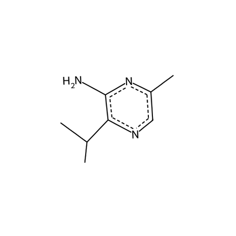 Cc1cnc(C(C)C)c(N)n1